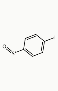 O=[S+]c1ccc(I)cc1